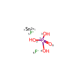 O=P(O)(O)O.[F-].[F-].[Sn+2]